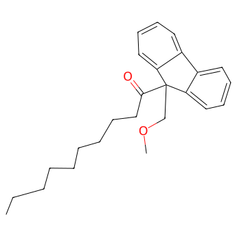 CCCCCCCCCC(=O)C1(COC)c2ccccc2-c2ccccc21